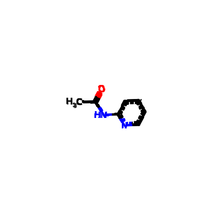 CC(=O)Nc1c[c]ccn1